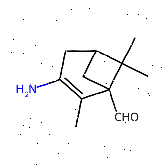 CC1=C(N)CC2CC1(C=O)C2(C)C